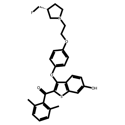 Cc1cccc(C)c1C(=O)c1sc2cc(O)ccc2c1Oc1ccc(OCCN2CC[C@@H](CF)C2)cc1